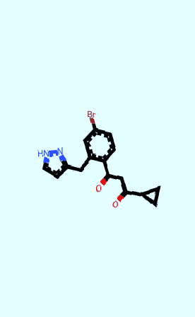 O=C(CC(=O)C1CC1)c1ccc(Br)cc1Cc1cc[nH]n1